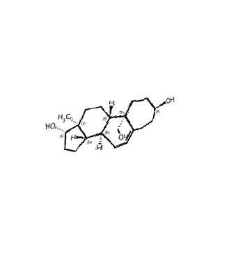 C[C@]12CC[C@H]3[C@@H](CC=C4C[C@H](O)CC[C@@]43CO)[C@@H]1CC[C@@H]2O